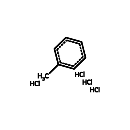 Cc1ccccc1.Cl.Cl.Cl.Cl